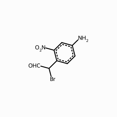 Nc1ccc(C(Br)C=O)c([N+](=O)[O-])c1